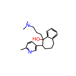 Cc1ccc(C2CCCc3ccccc3C2(O)CCCN(C)C)cn1